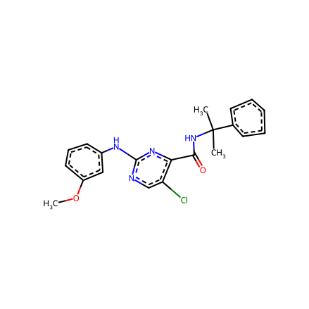 COc1cccc(Nc2ncc(Cl)c(C(=O)NC(C)(C)c3ccccc3)n2)c1